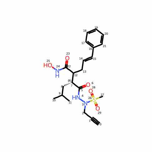 C#CCN(NC(=O)[C@H](CC(C)C)C(CC=Cc1ccccc1)C(=O)NO)S(C)(=O)=O